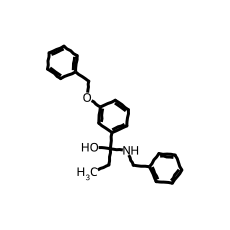 CCC(O)(NCc1ccccc1)c1cccc(OCc2ccccc2)c1